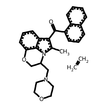 C=C.Cc1c(C(=O)c2cccc3ccccc23)c2cccc3c2n1C(CN1CCOCC1)CO3